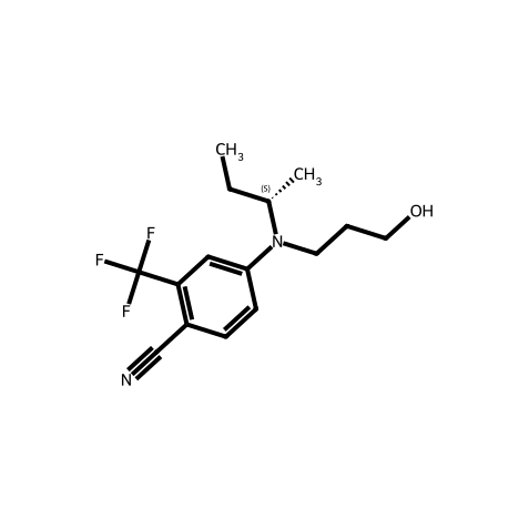 CC[C@H](C)N(CCCO)c1ccc(C#N)c(C(F)(F)F)c1